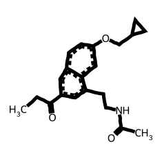 CCC(=O)c1cc(CCNC(C)=O)c2cc(OCC3CC3)ccc2c1